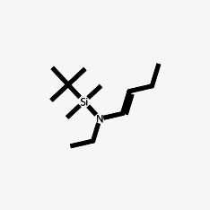 CCC=CN(CC)[Si](C)(C)C(C)(C)C